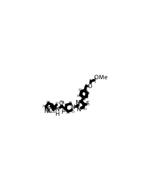 COCCOCc1ccc(-c2nc(N3CCC(F)(C(=O)NC4(C)CCN5CCC4CC5)CC3)ncc2F)cc1